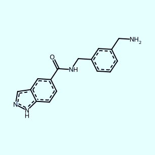 NCc1cccc(CNC(=O)c2ccc3[nH]ncc3c2)c1